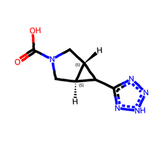 O=C(O)N1C[C@@H]2C(c3nn[nH]n3)[C@H]2C1